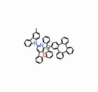 Cc1ccc2c(c1)c1ccccc1n2-c1cc2c(oc3ccccc32)c([Si](c2ccccc2)(c2ccccc2)c2ccc3c(c2)-c2ccccc2-c2ccccc2-c2ccccc2-3)n1